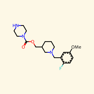 COc1ccc(F)c(CN2CCCC(COC(=O)N3CCNCC3)C2)c1